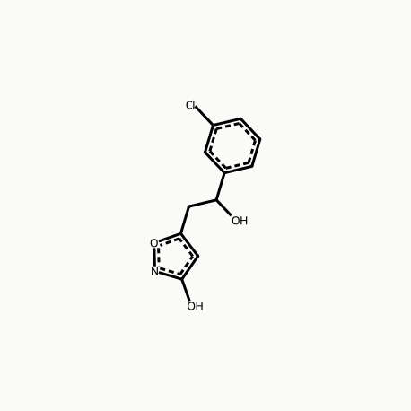 Oc1cc(CC(O)c2cccc(Cl)c2)on1